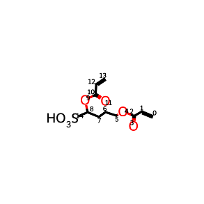 C=CC(=O)OCCCC(OC(=O)C=C)S(=O)(=O)O